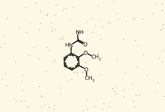 COc1cccc(NC([NH])=O)c1OC